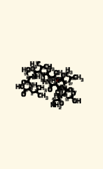 CC(C)C[C@H](NC(=O)[C@H](CO)NC(=O)[C@@H](NC(=O)[C@@H](NC(=O)[C@@H](NC(=O)[C@H](CC(C)C)NC(=O)[C@H](CC(=O)O)NC(=O)CN)C(C)C)[C@@H](C)O)C(C)C)C(=O)O